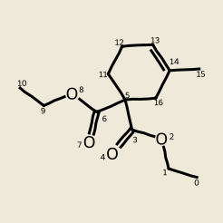 CCOC(=O)C1(C(=O)OCC)CCC=C(C)C1